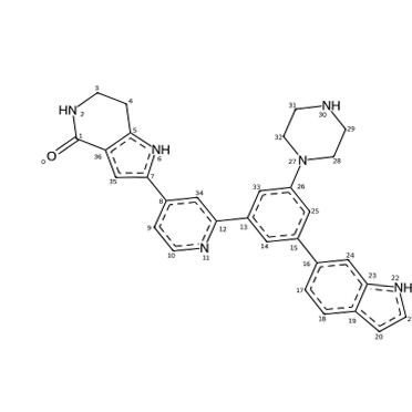 O=C1NCCc2[nH]c(-c3ccnc(-c4cc(-c5ccc6cc[nH]c6c5)cc(N5CCNCC5)c4)c3)cc21